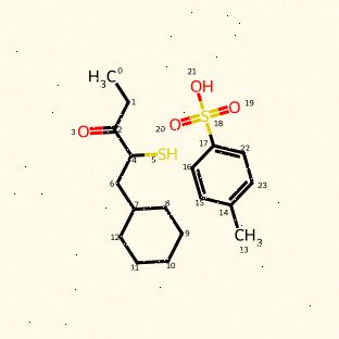 CCC(=O)C(S)CC1CCCCC1.Cc1ccc(S(=O)(=O)O)cc1